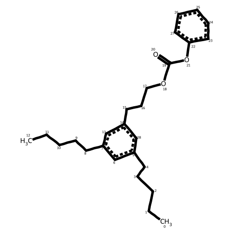 CCCCCc1cc(CCCCC)cc(CCCOC(=O)Oc2ccccc2)c1